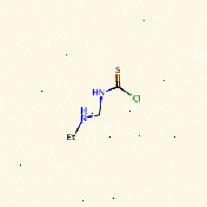 CCNCNC(=S)Cl